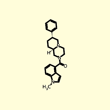 Cn1ccc2c(C(=O)N3CCN4C[C@@H](c5ccccc5)CC[C@@H]4C3)cccc21